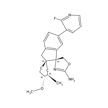 CO[C@@H]1CC[C@]2(Cc3ccc(-c4cccnc4F)cc3[C@@]23COC(N)=N3)C[C@H]1C